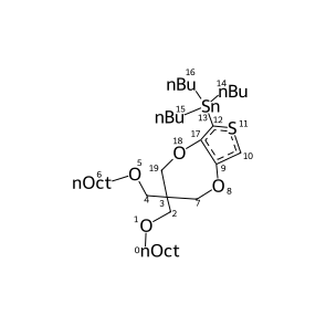 CCCCCCCCOCC1(COCCCCCCCC)COc2cs[c]([Sn]([CH2]CCC)([CH2]CCC)[CH2]CCC)c2OC1